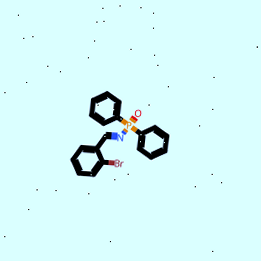 O=P(N=Cc1ccccc1Br)(c1ccccc1)c1ccccc1